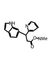 CNOC(=O)CC(c1ccc2cc[nH]c2c1)c1ccccn1